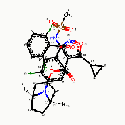 CS(=O)(=O)NC(=O)c1ccc(N2[C@@H]3CC[C@H]2CC(OC(=O)c2c(-c4c(Cl)cccc4Cl)noc2C2CC2)C3)c(F)c1